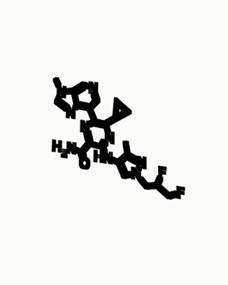 Cc1nn(CC(F)CF)cc1Nc1nc(C2CC2)c(-c2cncc3c2ncn3C)nc1C(N)=O